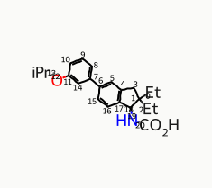 CCC1(CC)Cc2cc(-c3cccc(OC(C)C)c3)ccc2C1NC(=O)O